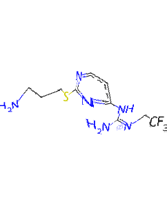 NCCCSc1nccc(N/C(N)=N\CC(F)(F)F)n1